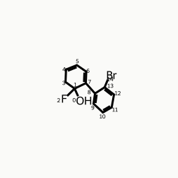 OC1(F)CC=CC=C1c1ccccc1Br